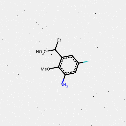 CCC(C(=O)O)c1cc(F)cc(N)c1OC